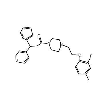 O=C(CC(c1ccccc1)c1ccccc1)N1CCN(CCOc2ccc(F)cc2F)CC1